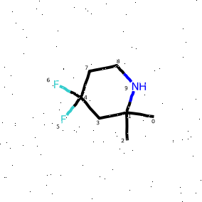 CC1(C)CC(F)(F)CCN1